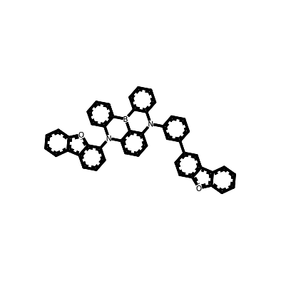 c1cc(-c2ccc3oc4ccccc4c3c2)cc(N2c3ccccc3B3c4ccccc4N(c4cccc5c4oc4ccccc45)c4cccc2c43)c1